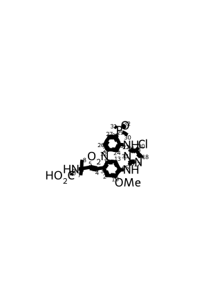 COc1cc(C#CC(C)(C)NC(=O)O)c([N+](=O)[O-])cc1Nc1ncc(Cl)c(Nc2ccccc2P(C)(C)=O)n1